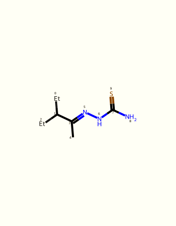 CCC(CC)C(C)=NNC(N)=S